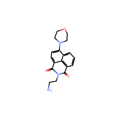 NCCN1C(=O)c2cccc3c(N4CCOCC4)ccc(c23)C1=O